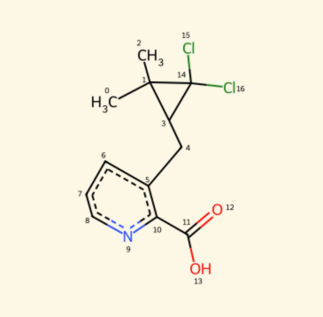 CC1(C)C(Cc2cccnc2C(=O)O)C1(Cl)Cl